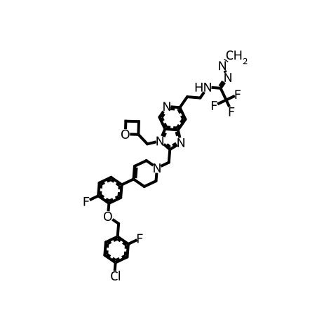 C=N/N=C(\NCCc1cc2nc(CN3CC=C(c4ccc(F)c(OCc5ccc(Cl)cc5F)c4)CC3)n(CC3CCO3)c2cn1)C(F)(F)F